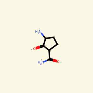 NC(=O)C1CCC(N)C1=O